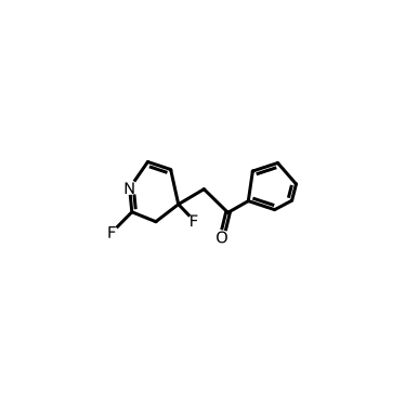 O=C(CC1(F)C=CN=C(F)C1)c1ccccc1